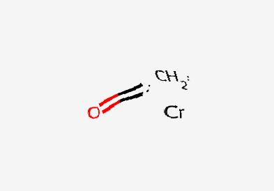 [CH2].[C]=O.[Cr]